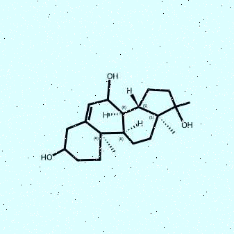 CC1(O)CC[C@H]2[C@@H]3C(O)C=C4CC(O)CC[C@]4(C)[C@@H]3CC[C@@]21C